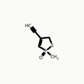 C#CC1=CP(C)(=O)SC1